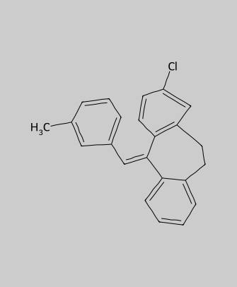 Cc1cccc(C=C2c3ccccc3CCc3cc(Cl)ccc32)c1